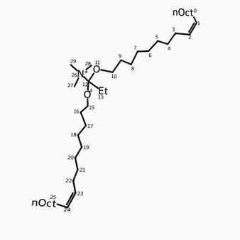 CCCCCCCC/C=C\CCCCCCCCOC(CC)(OCCCCCCCC/C=C\CCCCCCCC)[N+](C)(C)C